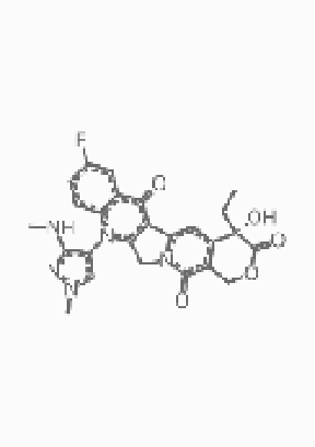 CC[C@@]1(O)C(=O)OCc2c1cc1n(c2=O)Cc2c-1c(=O)c1cc(F)ccc1n2-c1cn(C)nc1NC